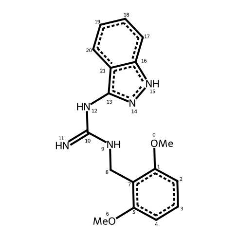 COc1cccc(OC)c1CNC(=N)Nc1n[nH]c2ccccc12